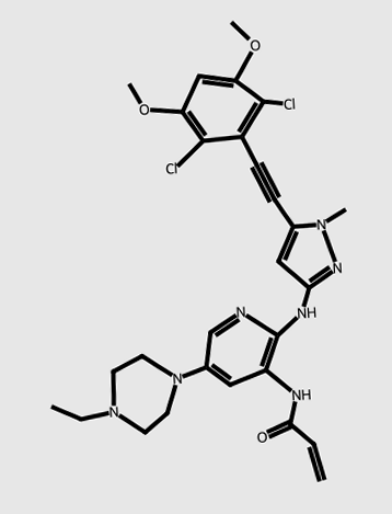 C=CC(=O)Nc1cc(N2CCN(CC)CC2)cnc1Nc1cc(C#Cc2c(Cl)c(OC)cc(OC)c2Cl)n(C)n1